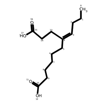 CCCC=C(CCCCCC(=O)O)CCC(=O)O